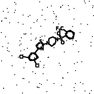 O=S(=O)(c1ccccc1C(F)(F)F)N1CCN(c2nc(-c3cc(Cl)cc(Cl)c3)cs2)CC1